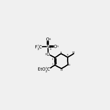 CCOC(=O)C1=C(OS(=O)(=O)C(F)(F)F)CC(C)CC1